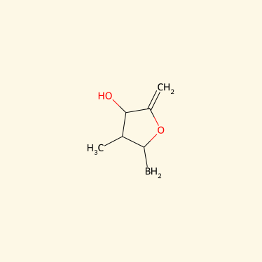 BC1OC(=C)C(O)C1C